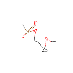 COC1(COS(C)(=O)=O)CC1